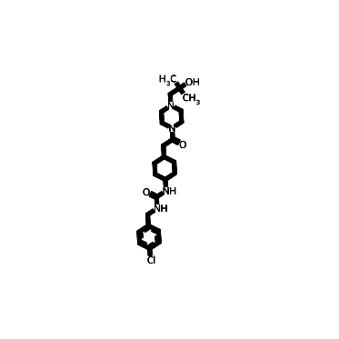 CC(C)(O)CN1CCN(C(=O)CC2CCC(NC(=O)NCc3ccc(Cl)cc3)CC2)CC1